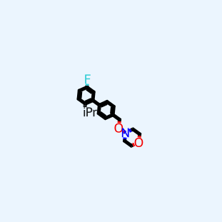 CC(C)c1ccc(F)cc1-c1ccc(CON2CCOCC2)cc1